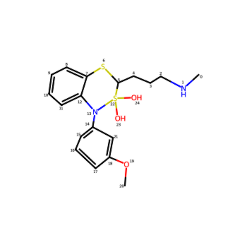 CNCCCC1Sc2ccccc2N(c2cccc(OC)c2)S1(O)O